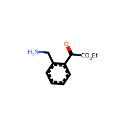 CCOC(=O)C(=O)c1ccccc1CN